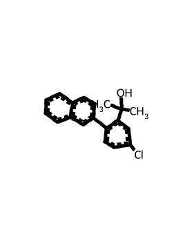 CC(C)(O)c1cc(Cl)ccc1-c1ccc2ccccc2c1